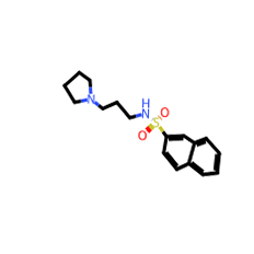 O=S(=O)(NCCCN1CCCC1)c1ccc2ccccc2c1